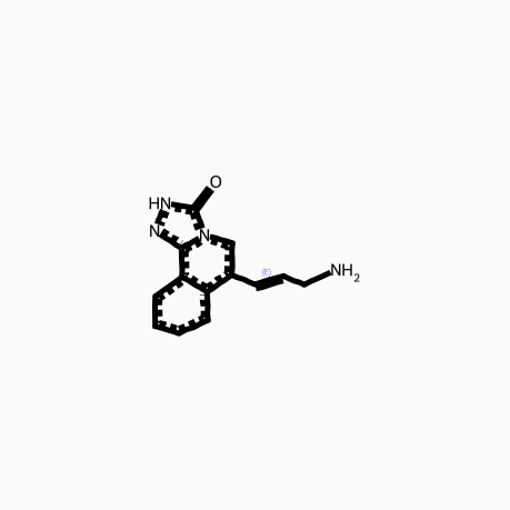 NC/C=C/c1cn2c(=O)[nH]nc2c2ccccc12